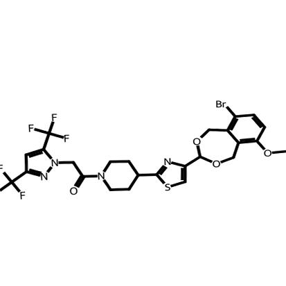 COc1ccc(Br)c2c1COC(c1csc(C3CCN(C(=O)Cn4nc(C(F)(F)F)cc4C(F)(F)F)CC3)n1)OC2